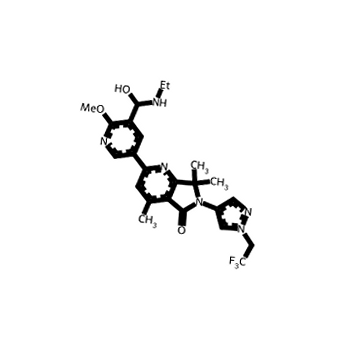 CCNC(O)c1cc(-c2cc(C)c3c(n2)C(C)(C)N(c2cnn(CC(F)(F)F)c2)C3=O)cnc1OC